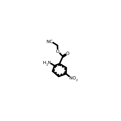 N#CCOC(=O)c1cc([N+](=O)[O-])ccc1N